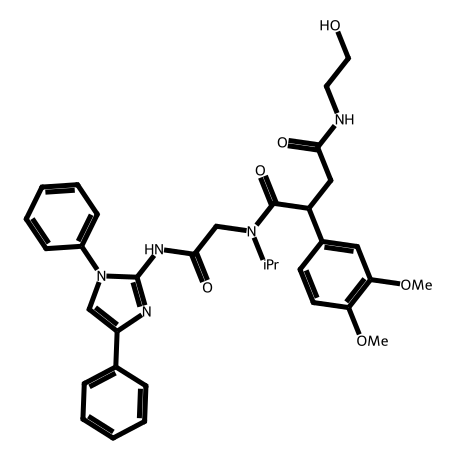 COc1ccc(C(CC(=O)NCCO)C(=O)N(CC(=O)Nc2nc(-c3ccccc3)cn2-c2ccccc2)C(C)C)cc1OC